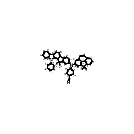 CC1(C)c2cccc3ccc4cc(N(c5ccc(C#N)cc5)c5ccc6c(c5)C(C)(C)c5c-6ccc6c7ccccc7n(-c7ccccc7)c56)cc1c4c23